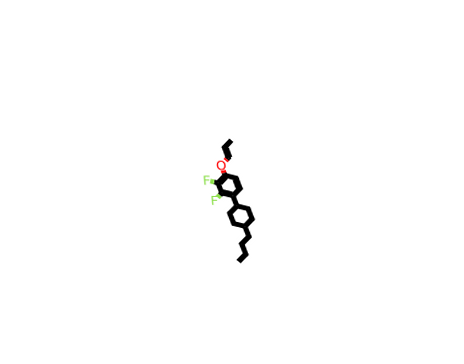 C/C=C/Oc1ccc(C2CCC(CCCC)CC2)c(F)c1F